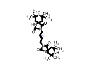 CC1(C)CC2(CC(C)(C)N1)NC(=O)N(C/C=C/CN1C(=O)NC3(CC(C)(C)NC(C)(C)C3)C1=O)C2=O